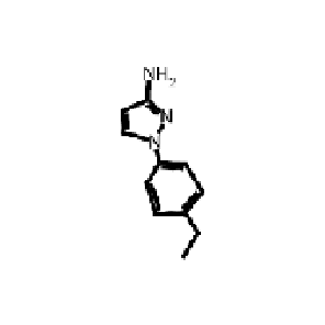 CCc1ccc(-n2ccc(N)n2)cc1